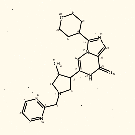 CC1CN(Cc2ncccn2)CC1c1cn2c(C3CCOCC3)ncc2c(=O)[nH]1